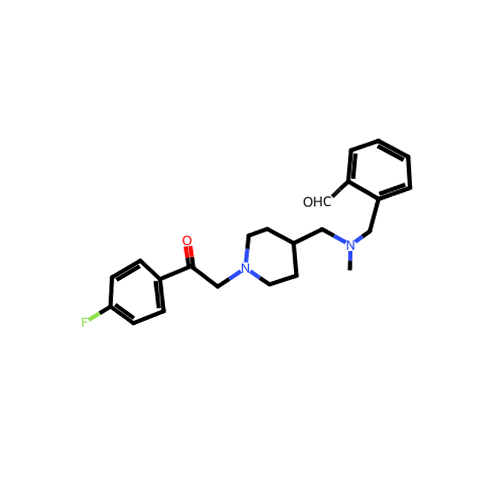 CN(Cc1ccccc1C=O)CC1CCN(CC(=O)c2ccc(F)cc2)CC1